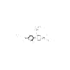 COC(=O)c1ccc(N2CCN(C(=O)OC(C)(C)C)C[C@@H]2CO[Si](C)(C)C(C)(C)C)c(F)n1